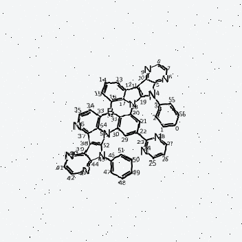 c1ccc(-n2c3nccnc3c3c4cccc5c4n(c32)-c2cc(-c3ncccn3)cc3c2B5c2ccnc4c5c6nccnc6n(-c6ccccc6)c5n-3c24)cc1